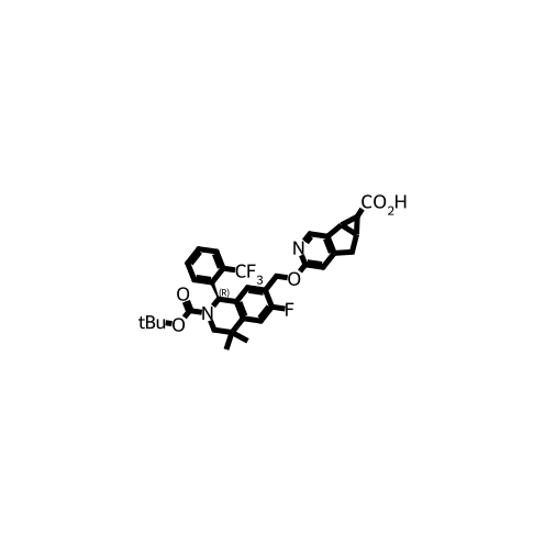 CC(C)(C)OC(=O)N1CC(C)(C)c2cc(F)c(COc3cc4c(cn3)C3C(C4)C3C(=O)O)cc2[C@@H]1c1ccccc1C(F)(F)F